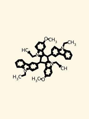 C#CCn1c2c(c3cc(OC)ccc31)C(c1ccc3c(c1)c1ccccc1n3CC)c1c(c3cc(OC)ccc3n1CC#C)C2c1ccc2c(c1)c1ccccc1n2CC